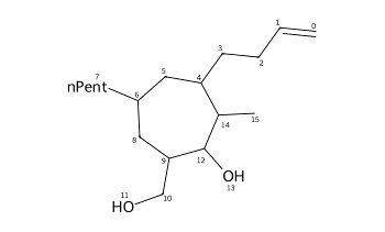 C=CCCC1CC(CCCCC)CC(CO)C(O)C1C